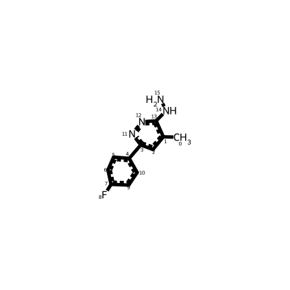 Cc1cc(-c2ccc(F)cc2)nnc1NN